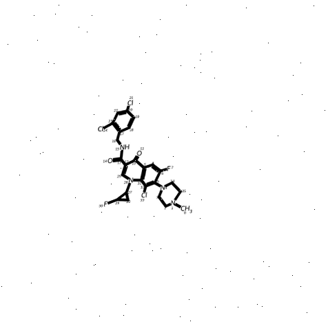 CN1CCN(c2c(F)cc3c(=O)c(C(=O)NCc4ccc(Cl)cc4Cl)cn(C4CC4F)c3c2Cl)CC1